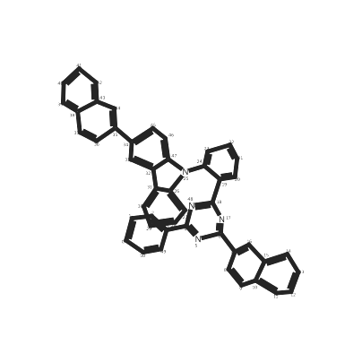 c1ccc(-c2nc(-c3ccc4ccccc4c3)nc(-c3ccccc3-n3c4ccccc4c4cc(-c5ccc6ccccc6c5)ccc43)n2)cc1